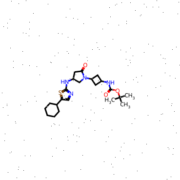 CC(C)(C)OC(=O)NC1CC(N2CC(Nc3ncc(C4CCCCC4)s3)CC2=O)C1